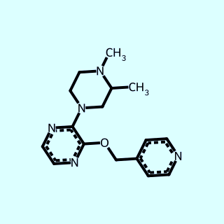 CC1CN(c2nccnc2OCc2ccncc2)CCN1C